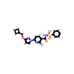 O=C(NS(=O)(=O)c1ccccc1)c1ccc(-n2ccc(OCC3CCC3)n2)nc1Cl